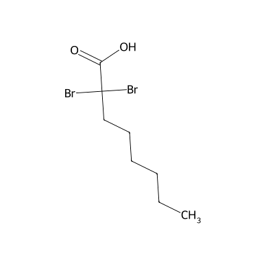 CCCCCCC(Br)(Br)C(=O)O